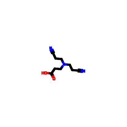 N#CCCN(CCC#N)CCC(=O)O